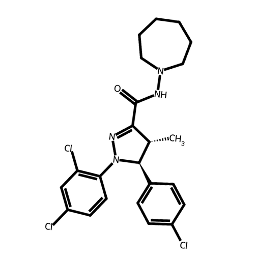 C[C@H]1C(C(=O)NN2CCCCCC2)=NN(c2ccc(Cl)cc2Cl)[C@@H]1c1ccc(Cl)cc1